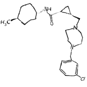 C[C@H]1CC[C@H](NC(=O)[C@@H]2C[C@H]2CN2CCN(c3cccc(Cl)c3)CC2)CC1